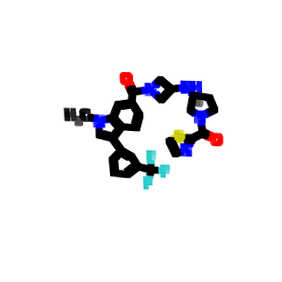 Cn1cc(-c2cccc(C(F)(F)F)c2)c2ccc(C(=O)N3CC(N[C@H]4CCN(C(=O)c5nccs5)C4)C3)cc21